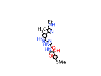 CCNCc1cncc(-c2ccc3[nH]nc(-c4ncc(C(=O)N[C@@H](CO)[C@H](O)c5ccc(SC)cc5)[nH]4)c3c2)c1C